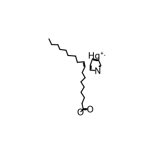 CCCCCCCC/C=C\CCCCCCCC(=O)[O-].[Hg+].c1ccncc1